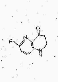 O=C1CCNc2ccc(F)nc21